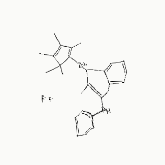 CC1=C(C)C(C)(C)[C]([Zr+2][CH]2C(C)=C(Pc3ccccc3)c3ccccc32)=C1C.[F-].[F-]